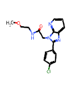 COCCNC(=O)Cn1c(-c2ccc(Cl)cc2)nc2cccnc21